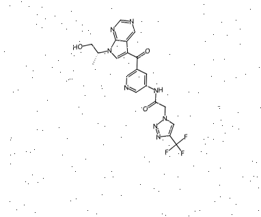 C[C@H](CO)n1cc(C(=O)c2cncc(NC(=O)Cn3cc(C(F)(F)F)nn3)c2)c2cncnc21